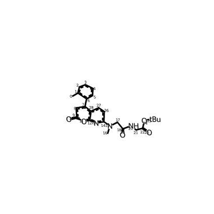 Cc1ccccc1-c1cc(=O)oc2nc(N(C)CC(=O)NCC(=O)OC(C)(C)C)ccc12